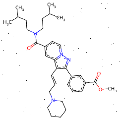 COC(=O)c1cccc(-c2nn3ccc(C(=O)N(CCC(C)C)CCC(C)C)cc3c2/C=C/CN2CCCCC2)c1